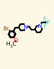 COc1ccc(Br)c(CC2CCN(CCC3CCCN(CC(F)(F)F)C3)CC2)c1